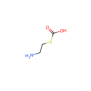 NCCSC(=O)O